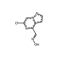 ON=Cc1nc(Cl)cn2nccc12